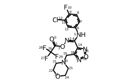 O=C(ON=C(Nc1ccc(F)c(Cl)c1)c1nonc1CN1CCOCC1)C(F)(F)F